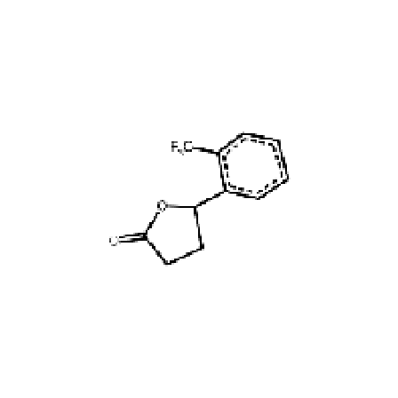 O=C1CCC(c2ccccc2C(F)(F)F)O1